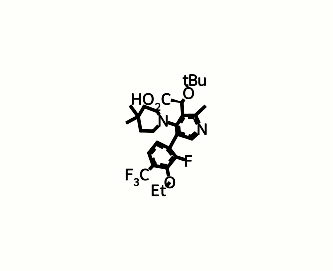 CCOc1c(C(F)(F)F)ccc(-c2cnc(C)c([C@H](OC(C)(C)C)C(=O)O)c2N2CCC(C)(C)CC2)c1F